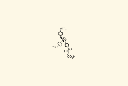 CC(C)(C)C1CCC(N2/C(=N/c3ccc(OC(F)(F)F)cc3)OCC2c2ccc(C(=O)NCCC(=O)O)cc2)CC1